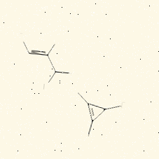 FC1=C(F)C1F.OC(F)C(F)=CF